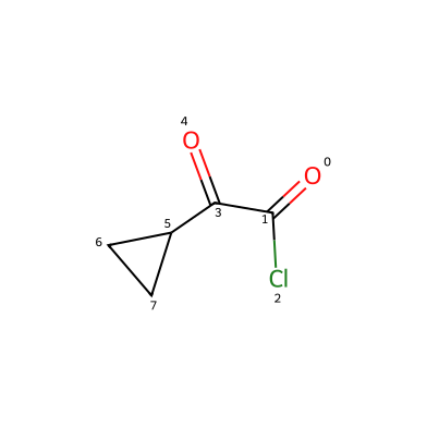 O=C(Cl)C(=O)C1CC1